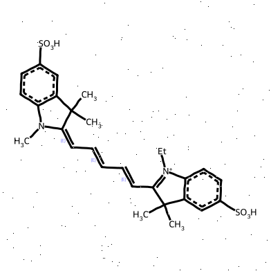 CC[N+]1=C(/C=C/C=C/C=C2/N(C)c3ccc(S(=O)(=O)O)cc3C2(C)C)C(C)(C)c2cc(S(=O)(=O)O)ccc21